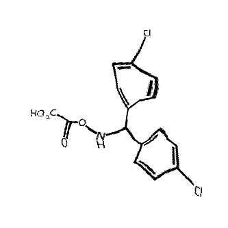 O=C(O)C(=O)ONC(c1ccc(Cl)cc1)c1ccc(Cl)cc1